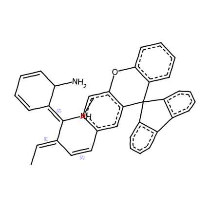 C/C=C(\C=C/c1ccc2c(c1)C1(c3ccccc3O2)c2ccccc2-c2ccccc21)C(/NC)=C1\C=CC=CC1N